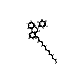 CCCCCCCCCCCCc1ccccc1CP(c1ccccc1)c1ccccc1